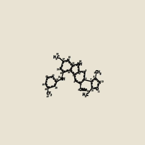 COc1cc2c(cc1-c1c(C)noc1C)[nH]c1nc(C)nc(Nc3cccc(C(F)(F)F)c3)c12